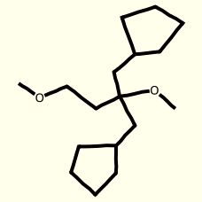 COCCC(CC1CCCC1)(CC1CCCC1)OC